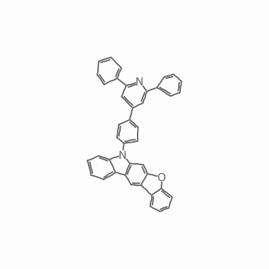 c1ccc(-c2cc(-c3ccc(-n4c5ccccc5c5cc6c(cc54)oc4ccccc46)cc3)cc(-c3ccccc3)n2)cc1